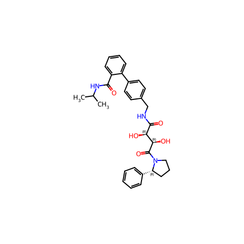 CC(C)NC(=O)c1ccccc1-c1ccc(CNC(=O)[C@H](O)[C@@H](O)C(=O)N2CCC[C@@H]2c2ccccc2)cc1